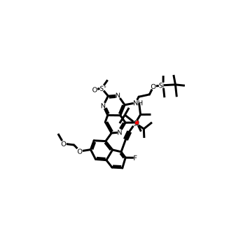 COCOc1cc(-c2cc3nc([S+](C)[O-])nc(NCCO[Si](C)(C)C(C)(C)C)c3c(OC)n2)c2c(C#C[Si](C(C)C)(C(C)C)C(C)C)c(F)ccc2c1